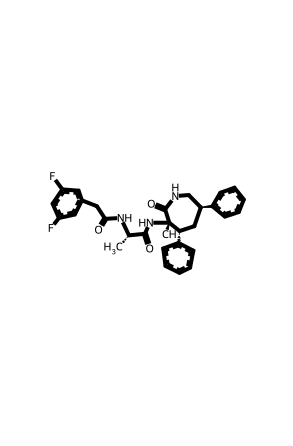 C[C@H](NC(=O)Cc1cc(F)cc(F)c1)C(=O)N[C@]1(C)C(=O)NC[C@@H](c2ccccc2)C[C@@H]1c1ccccc1